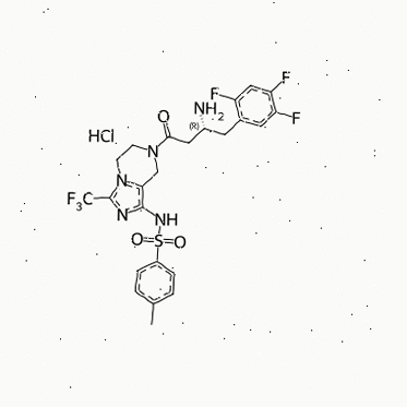 Cc1ccc(S(=O)(=O)Nc2nc(C(F)(F)F)n3c2CN(C(=O)C[C@H](N)Cc2cc(F)c(F)cc2F)CC3)cc1.Cl